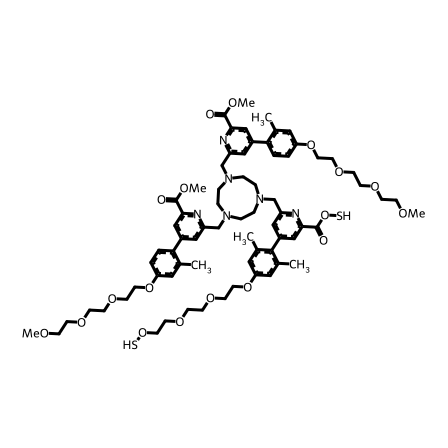 COCCOCCOCCOc1ccc(-c2cc(CN3CCN(Cc4cc(-c5ccc(OCCOCCOCCOC)cc5C)cc(C(=O)OC)n4)CCN(Cc4cc(-c5c(C)cc(OCCOCCOCCOS)cc5C)cc(C(=O)OS)n4)CC3)nc(C(=O)OC)c2)c(C)c1